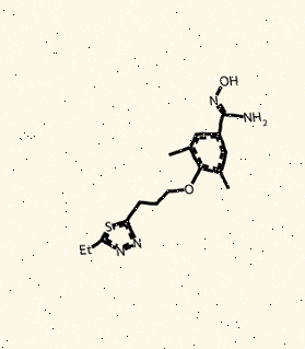 CCc1nnc(CCCOc2c(C)cc(C(N)=NO)cc2C)s1